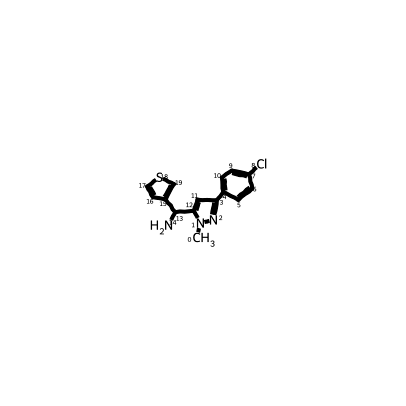 Cn1nc(-c2ccc(Cl)cc2)cc1C(N)c1ccsc1